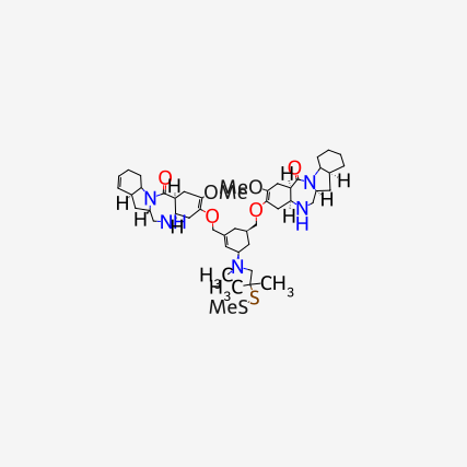 COC1=C(OC[C@@H]2CC(COC3=C(OC)C[C@@H]4C(=O)N5C6CCC=C[C@@H]6C[C@H]5CN[C@@H]4C3)=C[C@H](N(C)CC(C)(C)SSC)C2)C[C@@H]2NC[C@@H]3C[C@@H]4CCCCC4N3C(=O)[C@@H]2C1